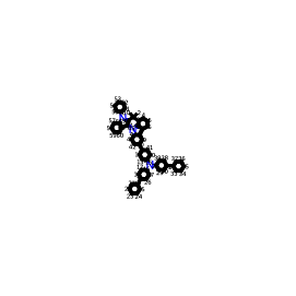 CC1(C)c2cccc3c4cc(-c5ccc(N(c6ccc(-c7ccccc7)cc6)c6ccc(-c7ccccc7)cc6)cc5)ccc4n(c23)-c2c1n(-c1ccccc1)c1ccccc21